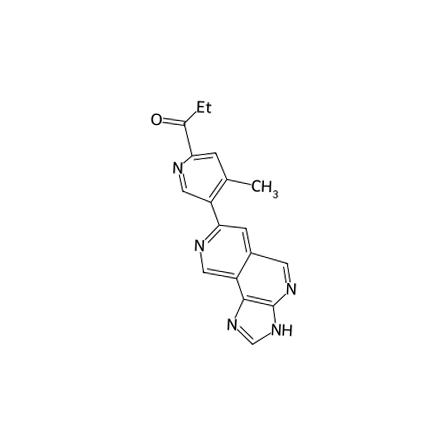 CCC(=O)c1cc(C)c(-c2cc3cnc4[nH]cnc4c3cn2)cn1